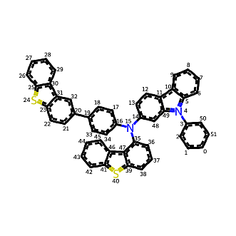 c1ccc(-n2c3ccccc3c3ccc(N(c4ccc(-c5ccc6sc7ccccc7c6c5)cc4)c4cccc5sc6ccccc6c45)cc32)cc1